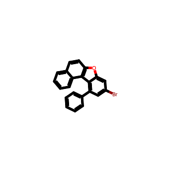 Brc1cc(-c2ccccc2)c2c(c1)oc1ccc3ccccc3c12